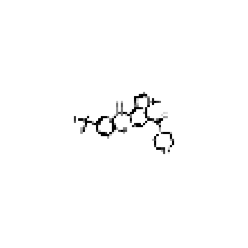 Cn1ccc2c(Nc3cc(C(F)(F)F)ccc3F)ncc(C(=O)N3CCOCC3)c21